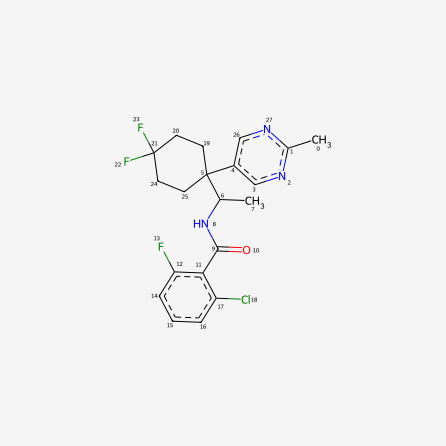 Cc1ncc(C2(C(C)NC(=O)c3c(F)cccc3Cl)CCC(F)(F)CC2)cn1